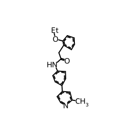 CCOc1ccccc1CC(=O)Nc1ccc(-c2ccnc(C)c2)cc1